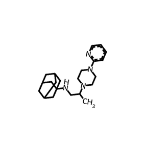 CC(CNC12CC3CC(CC(C3)C1)C2)N1CCN(c2ccccn2)CC1